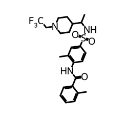 Cc1cc(S(=O)(=O)NC(C)C2CCN(CC(F)(F)F)CC2)ccc1NC(=O)c1ccccc1C